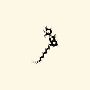 CN1C(=O)CCC(N2Cc3c(OCCCCCCCC(=O)O)cccc3C2=O)C1=O